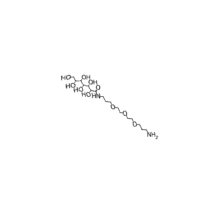 NCCCOCCOCCOCCCNC(=O)C(O)C(O)C(O)C(O)C(O)CO